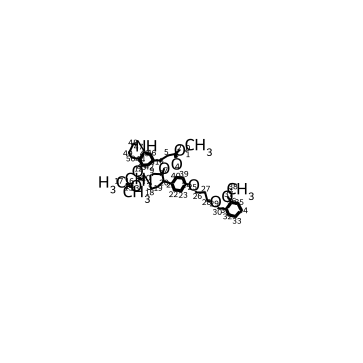 CCOC(=O)CC(OC1CN(C(=O)OC(C)(C)C)CCC1c1ccc(OCCCOCc2ccccc2OC)cc1)c1ccc2c(c1)NCCC2